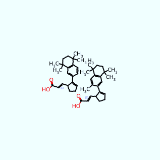 CC1(C)CCC(C)(C)c2cc(C3=CCCC3/C=C/C(=O)O)ccc21.Cc1cc2c(cc1C1=CCCC1/C=C/C(=O)O)C(C)(C)CCC2(C)C